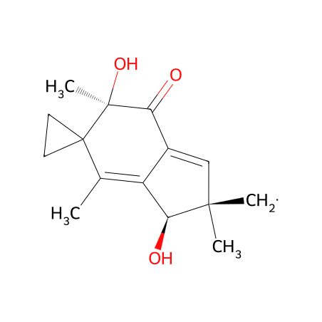 [CH2][C@]1(C)C=C2C(=O)[C@](C)(O)C3(CC3)C(C)=C2[C@@H]1O